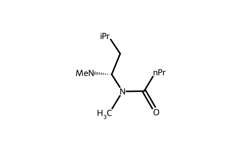 CCCC(=O)N(C)[C@@H](CC(C)C)NC